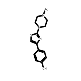 CC(=O)N1CCN(c2nc(-c3ccc(C#N)cc3)cs2)CC1